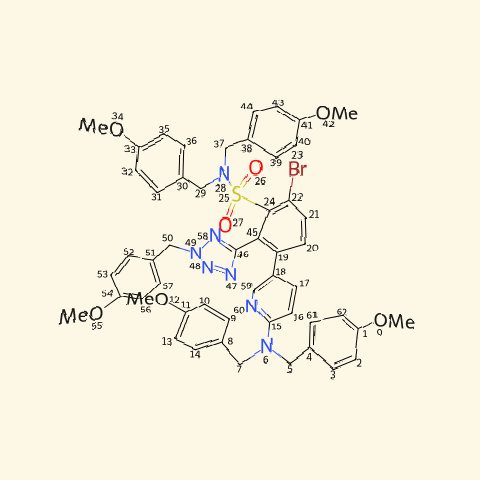 COc1ccc(CN(Cc2ccc(OC)cc2)c2ccc(-c3ccc(Br)c(S(=O)(=O)N(Cc4ccc(OC)cc4)Cc4ccc(OC)cc4)c3-c3nnn(Cc4ccc(OC)cc4)n3)cn2)cc1